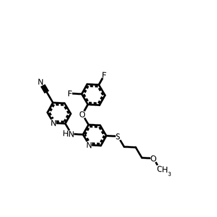 COCCCSc1cnc(Nc2ccc(C#N)cn2)c(Oc2ccc(F)cc2F)c1